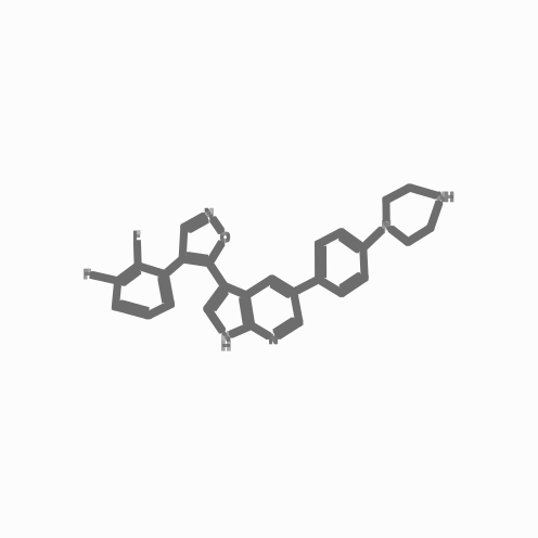 Fc1cccc(-c2cnoc2-c2c[nH]c3ncc(-c4ccc(N5CCNCC5)cc4)cc23)c1F